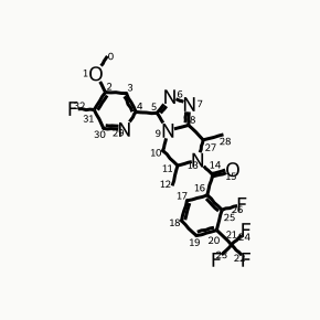 COc1cc(-c2nnc3n2CC(C)N(C(=O)c2cccc(C(F)(F)F)c2F)C3C)ncc1F